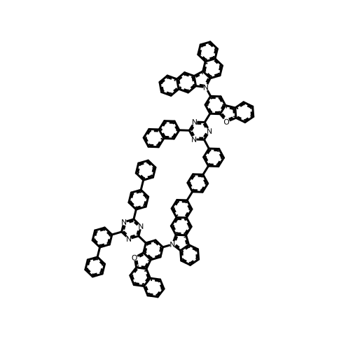 c1ccc(-c2ccc(-c3nc(-c4cccc(-c5ccccc5)c4)nc(-c4cc(-n5c6ccccc6c6cc7cc(-c8ccc(-c9cccc(-c%10nc(-c%11ccc%12ccccc%12c%11)nc(-c%11cc(-n%12c%13cc%14ccccc%14cc%13c%13c%14ccccc%14ccc%13%12)cc%12c%11oc%11ccccc%11%12)n%10)c9)cc8)ccc7cc65)cc5c4oc4ccc6ccccc6c45)n3)cc2)cc1